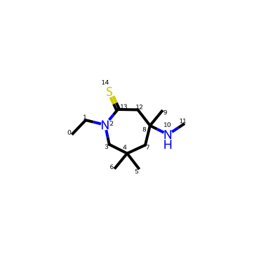 CCN1CC(C)(C)CC(C)(NC)CC1=S